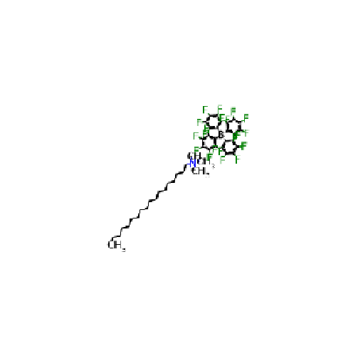 CCCCCCCCCCCCCCCCCC[N+](C)(C)C.Fc1c(F)c(F)c([B-](c2c(F)c(F)c(F)c(F)c2F)(c2c(F)c(F)c(F)c(F)c2F)c2c(F)c(F)c(F)c(F)c2F)c(F)c1F